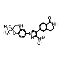 CC1(C)CNc2cc(-n3cc(-c4ccc5c(c4)CCNC5=O)c([N+](=O)[O-])n3)ccc2O1